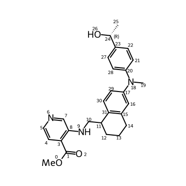 COC(=O)c1ccncc1NCC1CCCc2cc(N(C)c3ccc([C@@H](C)O)cc3)ccc21